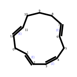 [CH]1/C=C/C=C\C/C=C/CCC/C=C/1